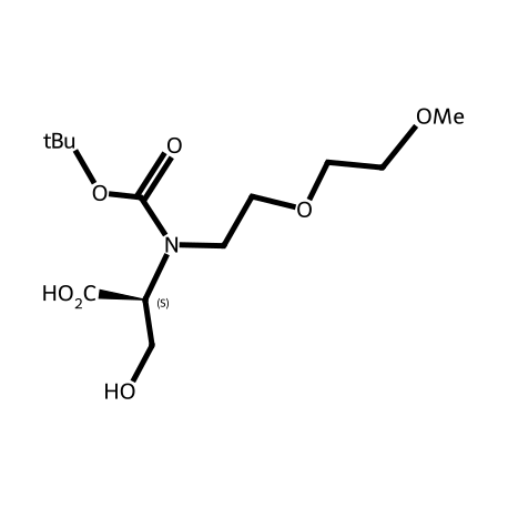 COCCOCCN(C(=O)OC(C)(C)C)[C@@H](CO)C(=O)O